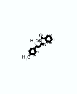 Cc1ccc(C=Cc2nc3ccccc3c(=O)n2C)cc1